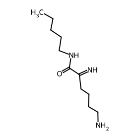 CCCCCNC(=O)C(=N)CCCCN